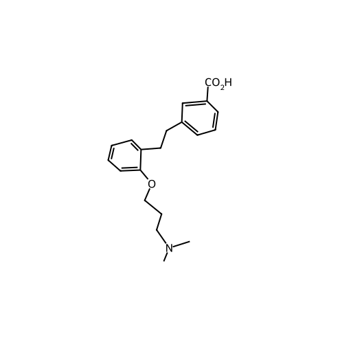 CN(C)CCCOc1ccccc1CCc1cccc(C(=O)O)c1